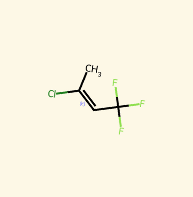 C/C(Cl)=C\C(F)(F)F